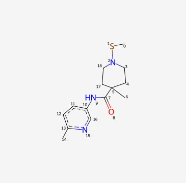 CSN1CCC(C)(C(=O)Nc2ccc(C)nc2)CC1